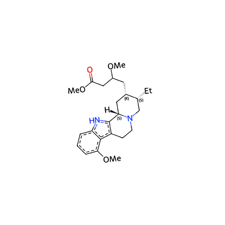 CC[C@@H]1CN2CCc3c([nH]c4cccc(OC)c34)[C@@H]2C[C@@H]1CC(CC(=O)OC)OC